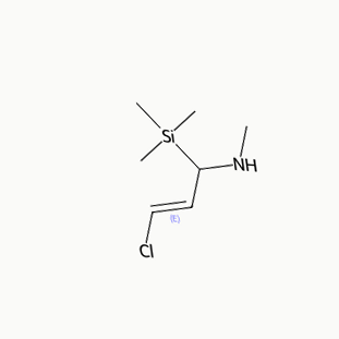 CNC(/C=C/Cl)[Si](C)(C)C